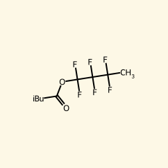 CCC(C)C(=O)OC(F)(F)C(F)(F)C(C)(F)F